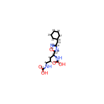 O=C(O)NCCCC(NC(=O)O)c1nc(CC2CCCCC2)no1